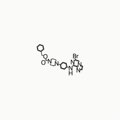 O=C(OCc1ccccc1)N1CCN(c2ccc(Nc3nc(Br)cn4ccnc34)cc2)CC1